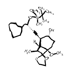 CO[C@]12CC[C@@H](O)[C@H](C#C[C@@H](O[Si](C)(C)C(C)(C)C)C3CCCCC3)[C@H]1C(C)C21OCCO1